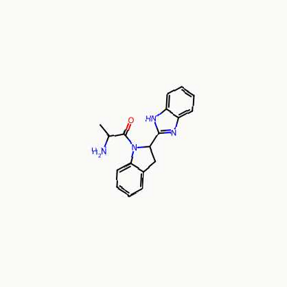 CC(N)C(=O)N1c2ccccc2CC1c1nc2ccccc2[nH]1